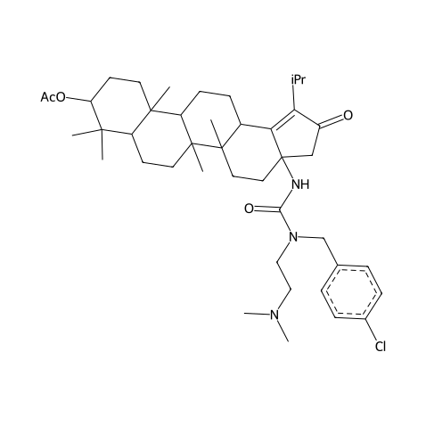 CC(=O)OC1CCC2(C)C(CCC3(C)C2CCC2C4=C(C(C)C)C(=O)CC4(NC(=O)N(CCN(C)C)Cc4ccc(Cl)cc4)CCC23C)C1(C)C